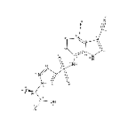 C[C@H]([C@@H](C)O)n1cc(S(=O)(=O)Nc2ccc(F)c3c(C#N)c[nH]c23)cn1